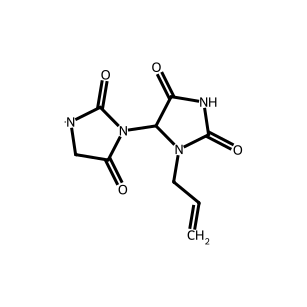 C=CCN1C(=O)NC(=O)C1N1C(=O)C[N]C1=O